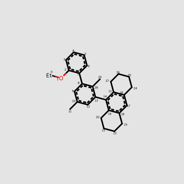 CCOc1ccccc1-c1cc(C)cc(-c2c3c(cc4c2CCCC4)CCCC3)c1C